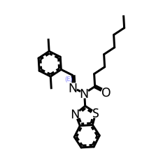 CCCCCCCC(=O)N(/N=C/c1cc(C)ccc1C)c1nc2ccccc2s1